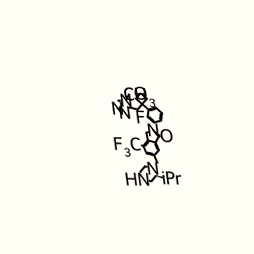 CC(C)[C@H]1CNCCN1Cc1cc2c(c(C(F)(F)F)c1)CN(c1cccc(C3([C@H](F)c4nncn4C)COC3)c1)C2=O